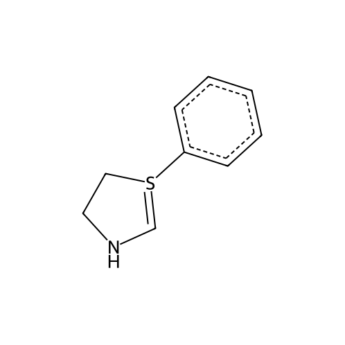 C1=S(c2ccccc2)CCN1